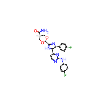 CC1(C(N)=O)COC(c2nc(-c3ccc(F)cc3)c(-c3ccnc(Nc4ccc(F)cc4)n3)[nH]2)OC1